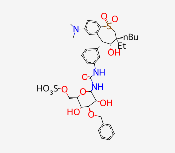 CCCC[C@]1(CC)CS(=O)(=O)c2ccc(N(C)C)cc2[C@@H](c2cccc(NC(=O)N[C@@H]3O[C@H](COS(=O)(=O)O)C(O)[C@H](OCc4ccccc4)C3O)c2)[C@H]1O